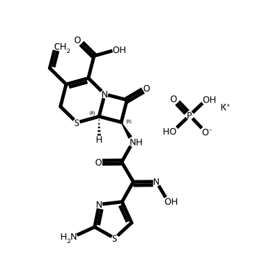 C=CC1=C(C(=O)O)N2C(=O)[C@@H](NC(=O)C(=NO)c3csc(N)n3)[C@H]2SC1.O=P([O-])(O)O.[K+]